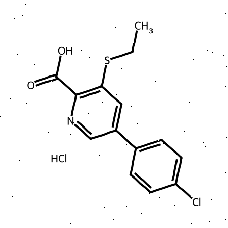 CCSc1cc(-c2ccc(Cl)cc2)cnc1C(=O)O.Cl